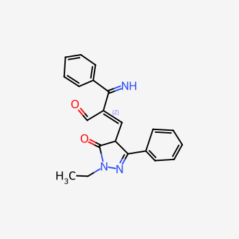 CCN1N=C(c2ccccc2)C(/C=C(\C=O)C(=N)c2ccccc2)C1=O